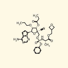 CCCO[C@H]1[C@H](c2ccc3c(N)ncnn23)O[C@](C#N)(CO[P@](=O)(N[C@@H](C)C(=O)OCC2COC2)Oc2ccccc2)[C@H]1OC(=O)CC